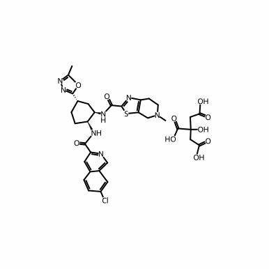 Cc1nnc([C@H]2CC[C@H](NC(=O)c3cc4ccc(Cl)cc4cn3)[C@H](NC(=O)c3nc4c(s3)CN(C)CC4)C2)o1.O=C(O)CC(O)(CC(=O)O)C(=O)O